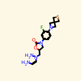 N/C=C\N(N)CC1CN(c2ccc(N3CC4(CSC4)C3)c(F)c2)C(=O)O1